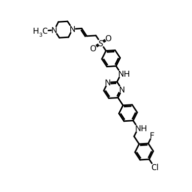 CN1CCN(C=CCS(=O)(=O)c2ccc(Nc3nccc(-c4ccc(NCc5ccc(Cl)cc5F)cc4)n3)cc2)CC1